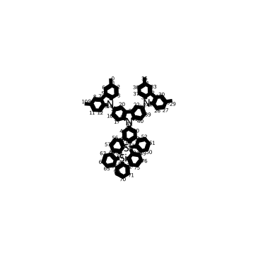 Cc1ccc2c(c1)c1cc(C)ccc1n2-c1ccc2c(c1)c1cc(-n3c4ccc(C)cc4c4cc(C)ccc43)ccc1n2-c1ccc([Si]2(c3ccccc3)c3ccccc3[Si](c3ccccc3)(c3ccccc3)c3ccccc32)cc1